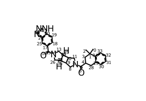 CC1(C)CC(C(=O)N2CC3C(C2)[C@@H]2CN(C(=O)c4ccc5[nH]nnc5c4)C[C@H]32)Cc2ccccc21